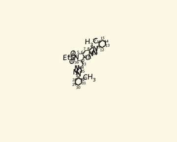 CCS(=O)(=O)N1CC(=Cc2cn(-c3ccccc3C)nn2)C(=O)C(=Cc2cn(-c3ccccc3C)nn2)C1